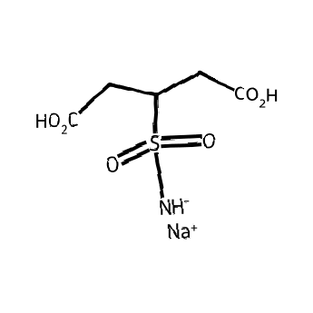 [NH-]S(=O)(=O)C(CC(=O)O)CC(=O)O.[Na+]